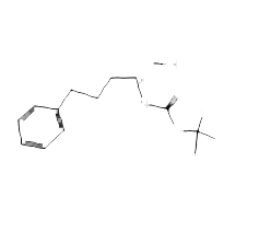 CC(C)(C)OC(=O)N[C@@H](CO)CCCc1ccccc1